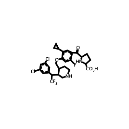 O=C(O)C1CCC(C(=O)c2cc(C3CC3)c(OCC3CCNCC3C(c3cc(Cl)cc(Cl)c3)C(F)(F)F)cc2F)N1